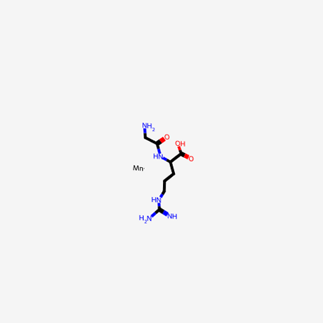 N=C(N)NCCCC(NC(=O)CN)C(=O)O.[Mn]